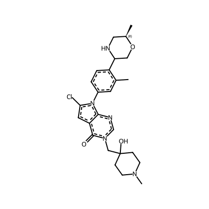 Cc1cc(-n2c(Cl)cc3c(=O)n(CC4(O)CCN(C)CC4)cnc32)ccc1C1CO[C@H](C)CN1